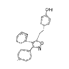 Oc1ccc(CCc2onc(-c3cc[c]cc3)c2-c2ccccc2)cc1